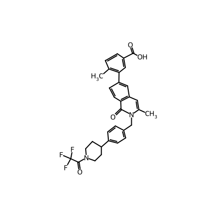 Cc1ccc(C(=O)O)cc1-c1ccc2c(=O)n(Cc3ccc(C4CCN(C(=O)C(F)(F)F)CC4)cc3)c(C)cc2c1